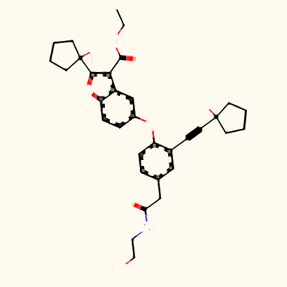 CCOC(=O)c1c(C2(O)CCCC2)oc2ccc(Oc3ccc(CC(=O)NCCO)cc3C#CC3(O)CCCC3)cc12